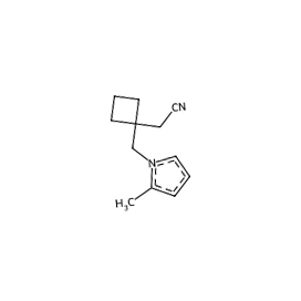 Cc1cccn1CC1(CC#N)CCC1